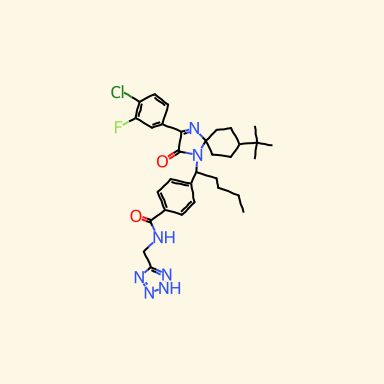 CCCCC(c1ccc(C(=O)NCc2nn[nH]n2)cc1)N1C(=O)C(c2ccc(Cl)c(F)c2)=NC12CCC(C(C)(C)C)CC2